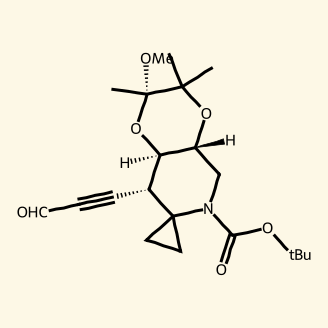 CO[C@@]1(C)O[C@@H]2[C@@H](C#CC=O)C3(CC3)N(C(=O)OC(C)(C)C)C[C@H]2OC1(C)C